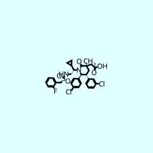 C[C@]1(CC(=O)O)C[C@H](c2cccc(Cl)c2)[C@@H](c2ccc(Cl)cc2)N([C@H](CNS(=O)(=O)Cc2ccccc2F)C2CC2)C1=O